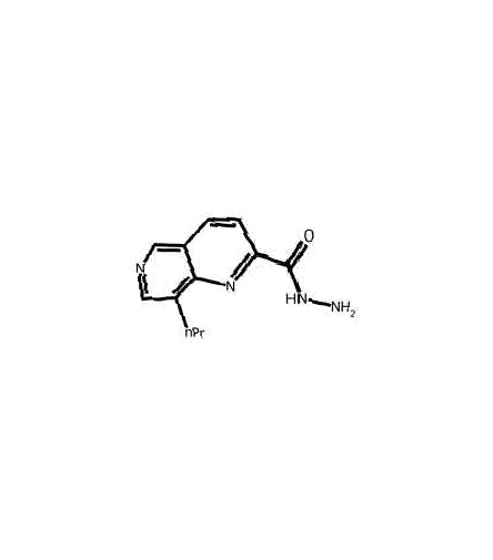 CCCc1cncc2ccc(C(=O)NN)nc12